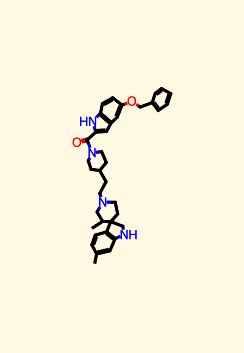 Cc1ccc2c(c1)NCC21CCN(CCC2CCN(C(=O)c3cc4cc(OCc5ccccc5)ccc4[nH]3)CC2)CC1C